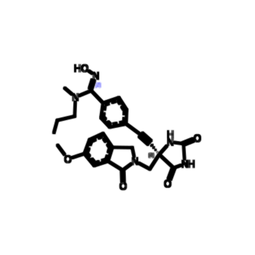 CCCN(C)/C(=N\O)c1ccc(C#C[C@]2(CN3Cc4ccc(OC)cc4C3=O)NC(=O)NC2=O)cc1